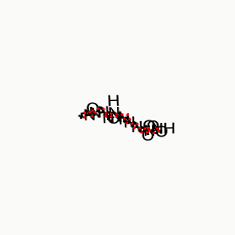 C[C@H]1CN(C2CCN(c3ccc4c(c3)C(=O)N(C3CCC(=O)NC3=O)C4=O)CC2)CCN1c1ccc(Nc2cc(N3CCC[C@@H](N4CCn5c(cc6c5CC(C)(C)C6)C4=O)C3)cn(C)c2=O)nc1